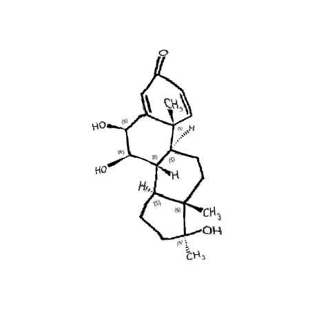 C[C@]12C=CC(=O)C=C1[C@H](O)[C@H](O)[C@@H]1[C@@H]2CC[C@@]2(C)[C@H]1CC[C@]2(C)O